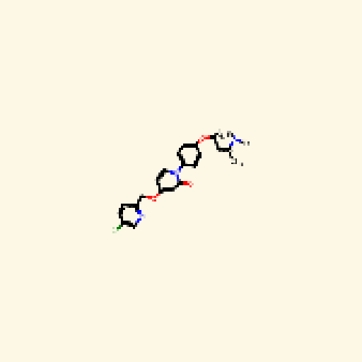 CCN(CC)[C@@H](C)CC(C)Oc1ccc(-n2ccc(OCc3ccc(Cl)cn3)cc2=O)cc1